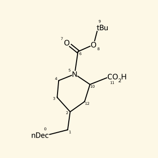 CCCCCCCCCCCC1CCN(C(=O)OC(C)(C)C)C(C(=O)O)C1